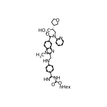 CCCCCCOC(=O)NC(=N)c1ccc(NCc2nc3cc(C(=O)N(CC(C(=O)O)[C@@H]4CCOC4)c4ccccn4)ccc3n2C)cc1